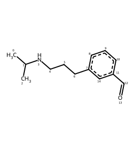 CC(C)NCCCc1cccc([C]=O)c1